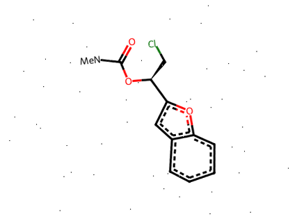 CNC(=O)O[C@@H](CCl)c1cc2ccccc2o1